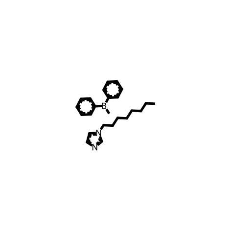 CB(c1ccccc1)c1ccccc1.CCCCCCCCn1ccnc1